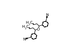 C=CCC(OC(CC=C)c1cccc(C#N)c1)c1cccc(C#N)c1